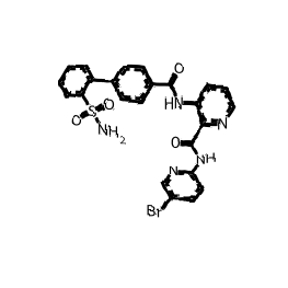 NS(=O)(=O)c1ccccc1-c1ccc(C(=O)Nc2cccnc2C(=O)Nc2ccc(Br)cn2)cc1